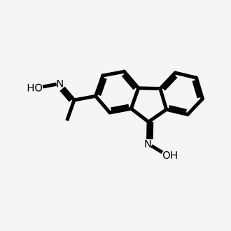 C/C(=N\O)c1ccc2c(c1)/C(=N/O)c1ccccc1-2